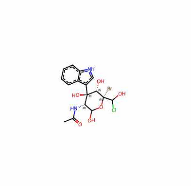 CC(=O)N[C@H]1C(O)O[C@](Br)(C(O)Cl)[C@@H](O)[C@@]1(O)c1c[nH]c2ccccc12